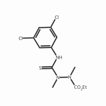 CCOC(=O)N(C)N(C)C(=S)Nc1cc(Cl)cc(Cl)c1